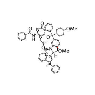 COc1ccc(C(OC[C@@H](Cn2ccc(=O)nc2NC(=O)c2ccccc2)O[P@]2O[C@H](C[Si](C)(c3ccccc3)c3ccccc3)[C@@H]3CCCN32)(c2ccccc2)c2ccc(OC)cc2)cc1